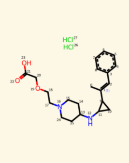 C/C(=C\c1ccccc1)C1CC1NC1CCN(CCOCC(=O)O)CC1.Cl.Cl